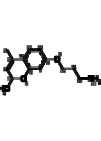 CC1=CC(O)Oc2cc(OCCCN)ccc21